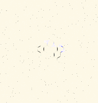 COc1cc2ncnc(N3CCNC(c4cc(F)c(C)c(F)c4F)C3)c2cc1OC